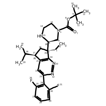 CC[C@@]1([C@@H]2CN(C(=O)OC(C)(C)C)CCN2)C[C@H](C(C)C)c2cc(-c3c(F)cccc3F)nnc21